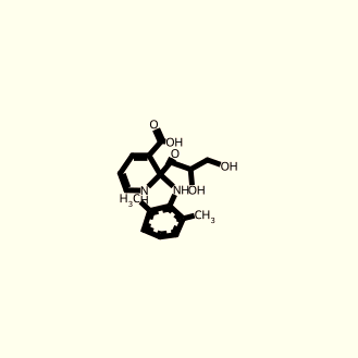 Cc1cccc(C)c1NC1(C(=O)C(O)CO)NC=CC=C1C(=O)O